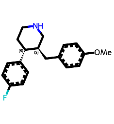 COc1ccc(C[C@@H]2CNCC[C@H]2c2ccc(F)cc2)cc1